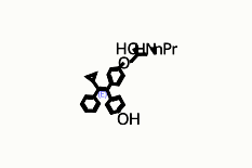 CCCNCC(O)COc1ccc(/C(=C(/c2ccccc2)C2CC2)c2ccc(O)cc2)cc1